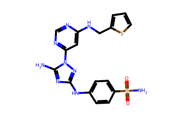 Nc1nc(Nc2ccc(S(N)(=O)=O)cc2)nn1-c1cc(NCc2cccs2)ncn1